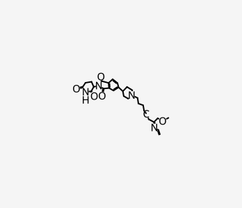 C=C/N=C(/CCCCCCN1CCC(c2ccc3c(c2)C(=O)N(C2CCC(=O)NC2=O)C3=O)CC1)COC